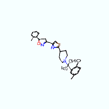 CC(=O)OC(C=O)(c1cc(C)ccc1C)N1CCC(c2nc(C3=NOC(c4ccccc4C)C3)cs2)CC1